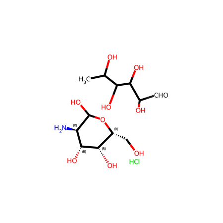 CC(O)C(O)C(O)C(O)C=O.Cl.N[C@H]1C(O)O[C@H](CO)[C@H](O)[C@@H]1O